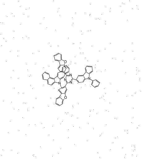 c1ccc(-n2c3ccccc3c3cc(-c4nc(-c5ccc6c(c5)oc5ccccc56)nc(-c5cc6oc7ccccc7c6cc5-n5c6cc7ccccc7cc6c6c7ccccc7ccc65)n4)ccc32)cc1